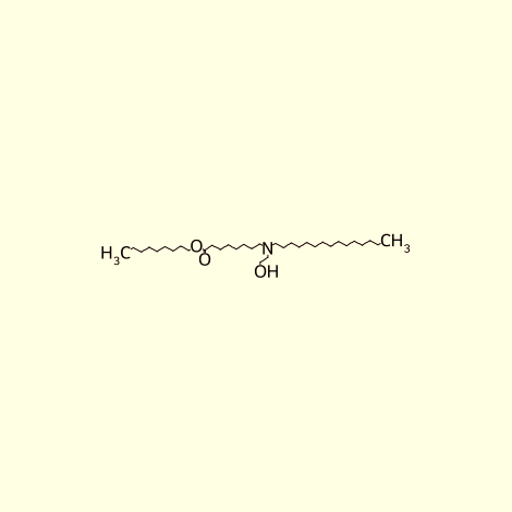 CCCCCCCCCCCCCCCN(CCO)CCCCCCCC(=O)OCCCCCCCCC